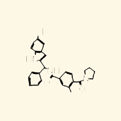 Cc1cc(C(=O)NC(c2ccccc2)c2cc3cc(Cl)ccc3[nH]2)ccc1C(=O)N1CCCC1